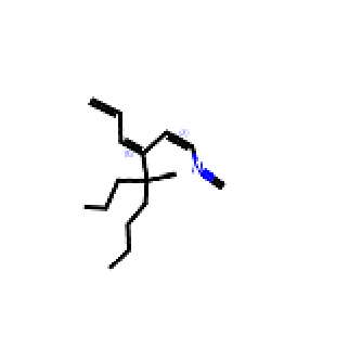 C=C/C=C(\C=C/N=C)C(C)(CCC)CCCC